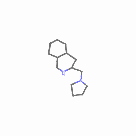 C1CCC2CC(CN3CCCC3)NCC2C1